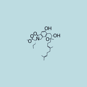 CCC[C@H](C(=O)OC)N1Cc2c(cc(O)c3c2OC(C)(CC/C=C(\C)CCC=C(C)C)[C@@H](O)C3)C1=O